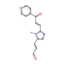 Cn1c(/C=C/C=O)ccc1/C=C/C(=O)c1ccncc1